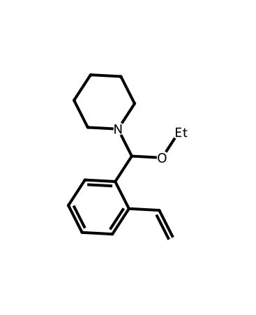 C=Cc1ccccc1C(OCC)N1CCCCC1